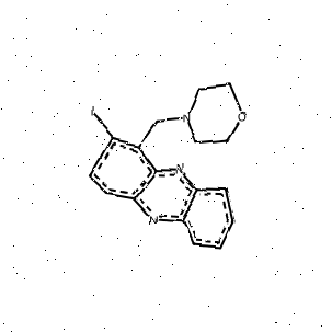 Ic1ccc2nc3ccccc3nc2c1CN1CCOCC1